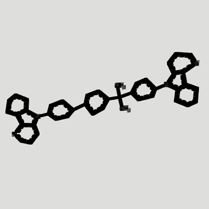 CC(C)(c1ccc(-c2ccc(-n3c4ccccc4c4ncccc43)cc2)cc1)c1ccc(-n2c3ccccc3c3ncccc32)cc1